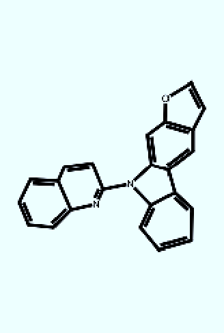 c1ccc2nc(-n3c4ccccc4c4cc5ccoc5cc43)ccc2c1